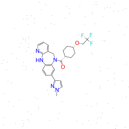 Cn1ccc(-c2ccc3c(c2)N(C(=O)[C@H]2CC[C@@H](OCC(F)(F)F)CC2)Cc2cccnc2N3)n1